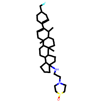 CC1C(C2=CCC(CF)CC2)=CCC2(C)C1CCC1(C)C3CCC4(NCCN5CC[S+]([O-])CC5)CCCC4C3CCC21